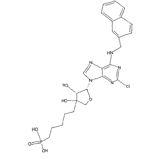 O=P(O)(O)CCCCCC1(O)CO[C@@H](n2cnc3c(NCc4ccc5ccccc5c4)nc(Cl)nc32)C1O